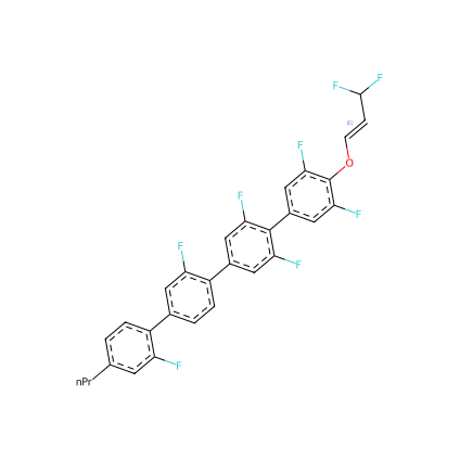 CCCc1ccc(-c2ccc(-c3cc(F)c(-c4cc(F)c(O/C=C/C(F)F)c(F)c4)c(F)c3)c(F)c2)c(F)c1